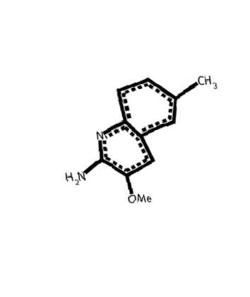 COc1cc2cc(C)ccc2nc1N